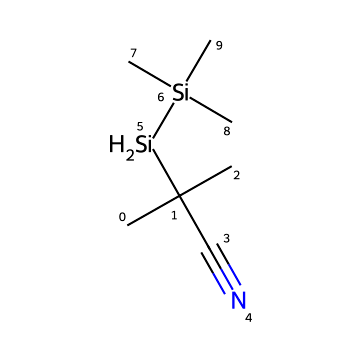 CC(C)(C#N)[SiH2][Si](C)(C)C